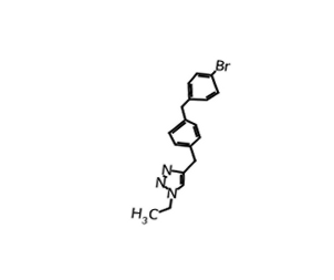 CCn1cc(Cc2ccc(Cc3ccc(Br)cc3)cc2)nn1